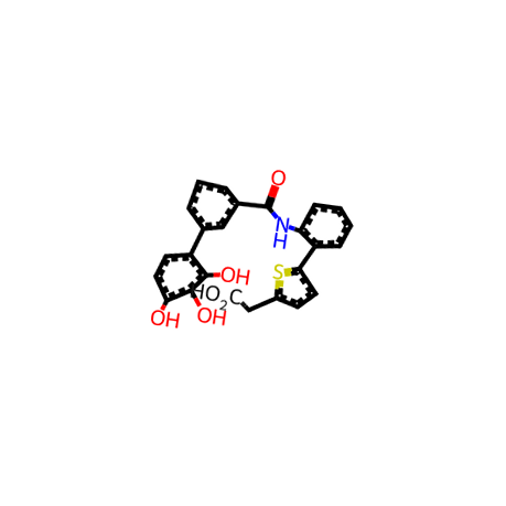 O=C(O)Cc1ccc(-c2ccccc2NC(=O)c2cccc(-c3ccc(O)c(O)c3O)c2)s1